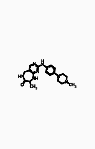 CC1Nc2nc(Nc3ccc(N4CCN(C)CC4)cc3)ncc2CNC1=O